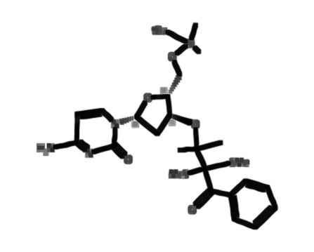 CSC(SC)(C(=O)c1ccccc1)C(C)(C)O[C@H]1C[C@H](n2ccc(N)nc2=O)O[C@@H]1CO[Si](C)(C)C(C)(C)C